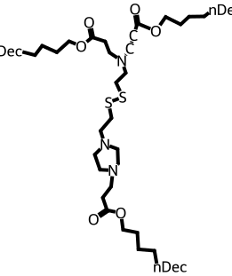 CCCCCCCCCCCCCCOC(=O)CCN(CCSSCCN1CCN(CCC(=O)OCCCCCCCCCCCCCC)CC1)CCC(=O)OCCCCCCCCCCCCCC